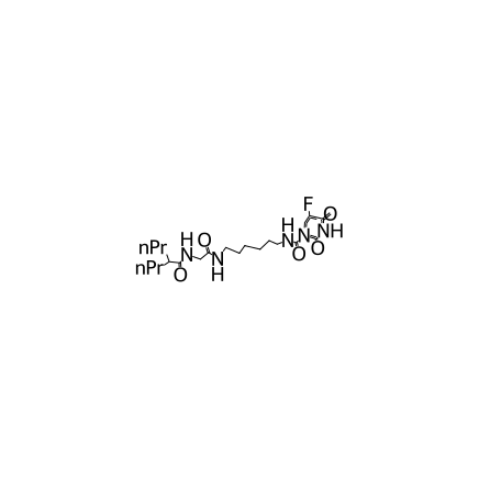 CCCC(CCC)C(=O)NCC(=O)NCCCCCCNC(=O)n1cc(F)c(=O)[nH]c1=O